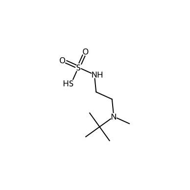 CN(CCNS(=O)(=O)S)C(C)(C)C